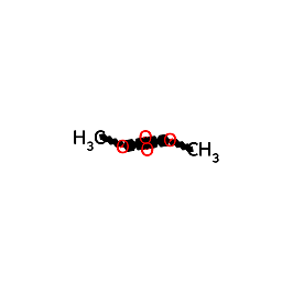 CCCCCCCCO[C@H]1CC[C@H](C2CCC3(CC2)C(=O)C2(CCC([C@H]4CC[C@H](OCCCCCCCC)CC4)CC2)C3=O)CC1